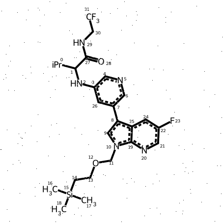 CC(C)C(Nc1cncc(-c2cn(COCC[Si](C)(C)C)c3ncc(F)cc23)c1)C(=O)NCC(F)(F)F